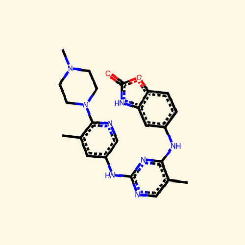 Cc1cnc(Nc2cnc(N3CCN(C)CC3)c(C)c2)nc1Nc1ccc2oc(=O)[nH]c2c1